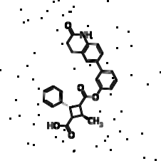 C[C@H]1C(C(=O)O)[C@H](c2ccccc2)C1C(=O)Oc1cccc(-c2ccc3c(c2)CCC(=O)N3)c1